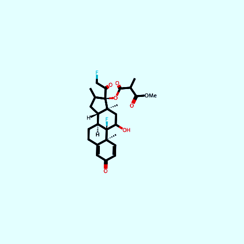 COC(=O)C(C)C(=O)O[C@]1(C(=O)CF)C(C)C[C@H]2[C@@H]3CCC4=CC(=O)C=C[C@]4(C)[C@@]3(F)C(O)C[C@@]21C